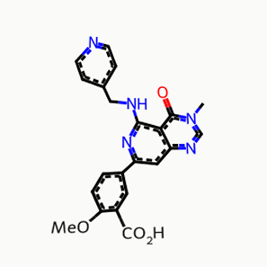 COc1ccc(-c2cc3ncn(C)c(=O)c3c(NCc3ccncc3)n2)cc1C(=O)O